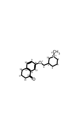 CN1CCCC(COc2ccc3c(c2)C(=O)CCC3)C1